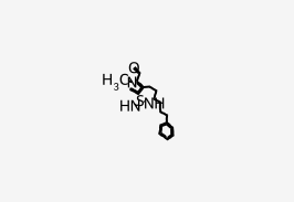 Cn1cc2c(c1C=O)CCC(CCCc1ccccc1)NS2=N